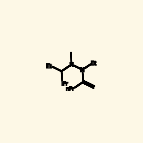 C=C(CCC)N(CC)N(C)C(CC)C(C)C